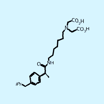 CC(C)Cc1ccc([C@H](C)C(=O)NCCCCCCCN(CC(=O)O)CC(=O)O)cc1